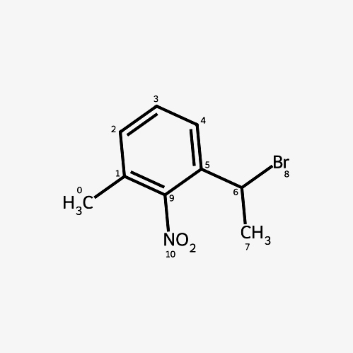 Cc1cccc(C(C)Br)c1[N+](=O)[O-]